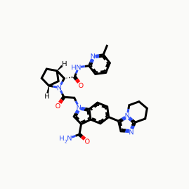 Cc1cccc(NC(=O)[C@H]2[C@H]3CC[C@H](C3)N2C(=O)Cn2cc(C(N)=O)c3cc(-c4cnc5n4CCCC5)ccc32)n1